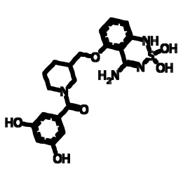 NC1=NS(O)(O)Nc2cccc(OCC3CCCN(C(=O)c4cc(O)cc(O)c4)C3)c21